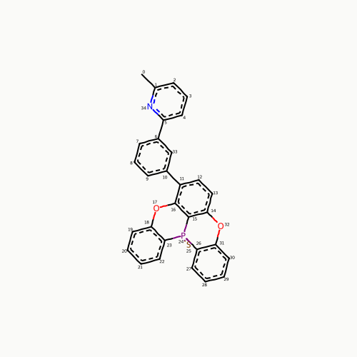 Cc1cccc(-c2cccc(-c3ccc4c5c3Oc3ccccc3P5(=S)c3ccccc3O4)c2)n1